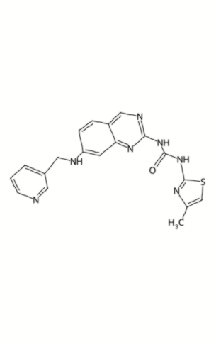 Cc1csc(NC(=O)Nc2ncc3ccc(NCc4cccnc4)cc3n2)n1